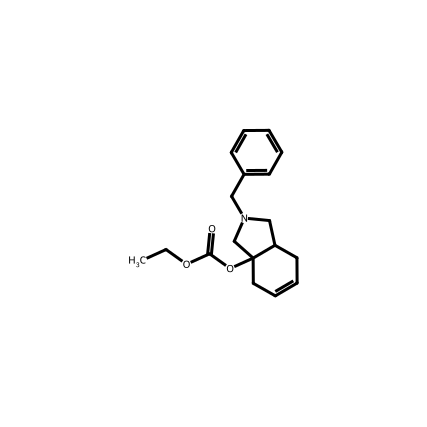 CCOC(=O)OC12CC=CCC1CN(Cc1ccccc1)C2